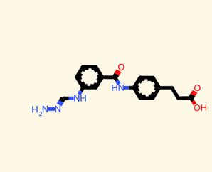 NN=CNc1cccc(C(=O)Nc2ccc(CCC(=O)O)cc2)c1